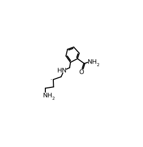 NCC[CH]CNCc1ccccc1C(N)=O